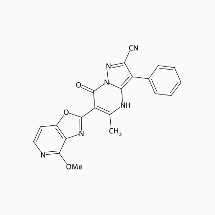 COc1nccc2oc(-c3c(C)[nH]c4c(-c5ccccc5)c(C#N)nn4c3=O)nc12